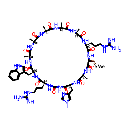 CSSC1NC(=O)[C@H](CCCNC(=N)N)NC(=O)[C@H](C)NC(=O)[C@H](C)NC(=O)[C@H](C)NC(=O)[C@H](C)NC(=O)[C@H](C)NC(=O)[C@H](Cc2c[nH]c3ccccc23)NC(=O)[C@H](CCCNC(=N)N)NC(=O)NC(=O)[C@H](Cc2c[nH]cn2)NC(=O)[C@H](C)NC1=O